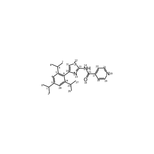 CC(C)c1cc(C(C)C)c(-c2csc(NC(=O)c3ccncc3)n2)c(C(C)C)c1